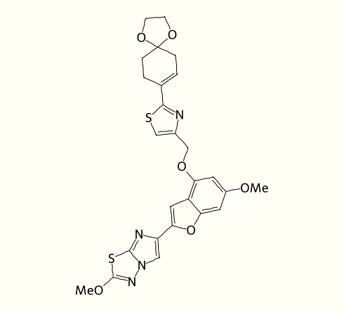 COc1cc(OCc2csc(C3=CCC4(CC3)OCCO4)n2)c2cc(-c3cn4nc(OC)sc4n3)oc2c1